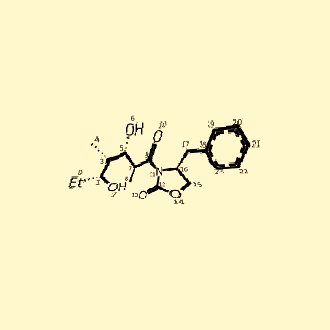 CC[C@@H](O)[C@H](C)[C@H](O)[C@H](C)C(=O)N1C(=O)OC[C@@H]1Cc1ccccc1